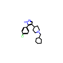 Clc1ccc(-c2[nH]ncc2C2CCN(CC3CCCCC3)CC2)cc1